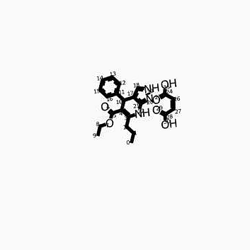 CCCC1=C(C(=O)OCC)C(c2ccccc2)c2c[nH]nc2N1.O=C(O)/C=C\C(=O)O